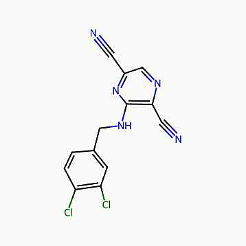 N#Cc1cnc(C#N)c(NCc2ccc(Cl)c(Cl)c2)n1